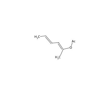 CC=CC=C(C)OC(C)=O